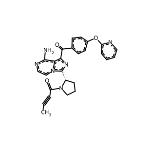 CC#CC(=O)N1CCC[C@H]1c1nc(C(=O)c2ccc(Oc3ccccn3)cc2)c2c(N)nccn12